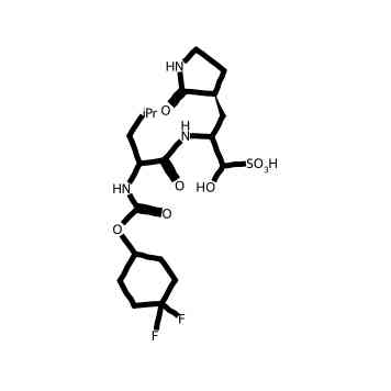 CC(C)CC(NC(=O)OC1CCC(F)(F)CC1)C(=O)NC(C[C@@H]1CCNC1=O)C(O)S(=O)(=O)O